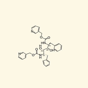 O=C(N[C@@H](Cc1ccccc1)[C@H](O)[C@H](O)[C@H](Cc1ccccc1)NC(=O)OCc1cccnc1)OCc1cccnc1